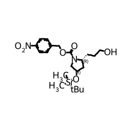 CC(C)(C)[Si](C)(C)O[C@@H]1C[C@@H](CCCO)N(C(=O)OCc2ccc([N+](=O)[O-])cc2)C1